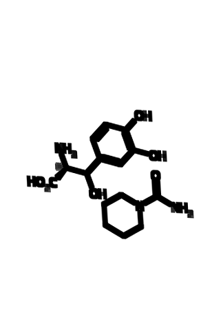 NC(=O)N1CCCCC1.N[C@H](C(=O)O)C(O)c1ccc(O)c(O)c1